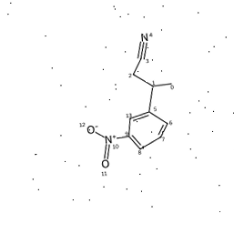 CC(CC#N)c1cccc([N+](=O)[O-])c1